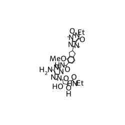 CCNC(=O)C1O[C@@H](n2cnc3c(N)nc(NC(=O)c4ccc5c(c4OC)CC(c4nc6c(c(=O)n(CC)c(=O)n6C)n4C)C5)nc32)[C@H](O)[C@@H]1O